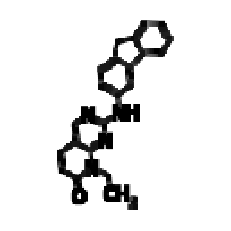 CCn1c(=O)ccc2cnc(Nc3ccc4c(c3)-c3ccccc3C4)nc21